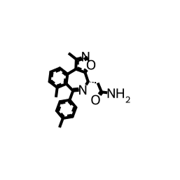 Cc1ccc(C2=N[C@@H](CC(N)=O)c3onc(C)c3-c3cccc(C)c32)cc1